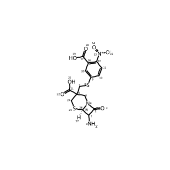 NC1C(=O)N2CC(CSc3ccc([N+](=O)[O-])c(C(=O)O)c3)(C(=O)O)CS[C@H]12